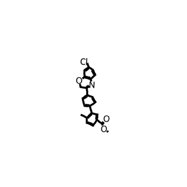 COC(=O)c1ccc(C)c(-c2ccc(C3=Nc4ccc(Cl)cc4OC3)cc2)c1